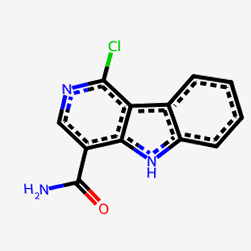 NC(=O)c1cnc(Cl)c2c1[nH]c1ccccc12